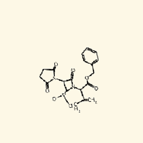 C=C(C)C(C(=O)OCc1ccccc1)N1C(=O)C(N2C(=O)CCC2=O)C1[S+]([O-])Cl